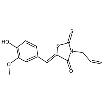 C=CCN1C(=O)/C(=C/c2ccc(O)c(OC)c2)SC1=S